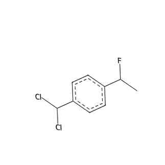 CC(F)c1ccc(C(Cl)Cl)cc1